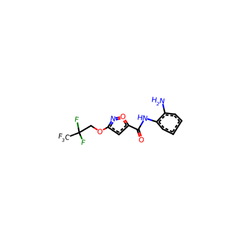 Nc1ccccc1NC(=O)c1cc(OCC(F)(F)C(F)(F)F)no1